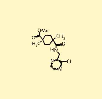 COC(=O)[C@]1(C)CC[C@](C)(C(=O)NCc2nccnc2Cl)CC1